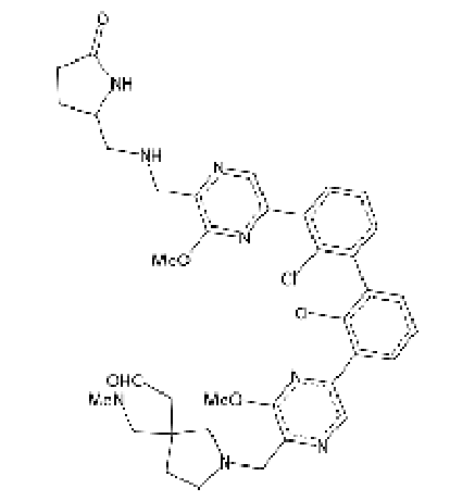 CNCC1(CC=O)CCN(Cc2ncc(-c3cccc(-c4cccc(-c5cnc(CNCC6CCC(=O)N6)c(OC)n5)c4Cl)c3Cl)nc2OC)C1